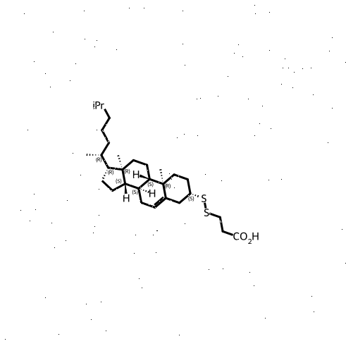 CC(C)CCC[C@@H](C)[C@H]1CC[C@H]2[C@@H]3CC=C4C[C@@H](SSCCC(=O)O)CC[C@]4(C)[C@H]3CC[C@]12C